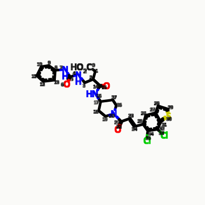 O=C(O)CC(CNC(=O)Nc1ccccc1)C(=O)NC1CCN(C(=O)C=Cc2cc3ccsc3c(Cl)c2Cl)CC1